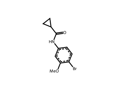 COc1cc(NC(=O)C2CC2)ccc1Br